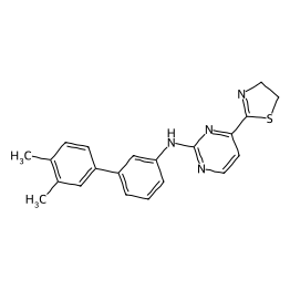 Cc1ccc(-c2cccc(Nc3nccc(C4=NCCS4)n3)c2)cc1C